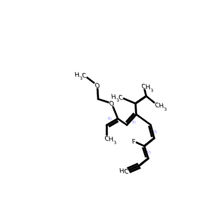 C#C/C=C(F)/C=C\C(=C\C(=C/C)OCOC)C(C)C(C)C